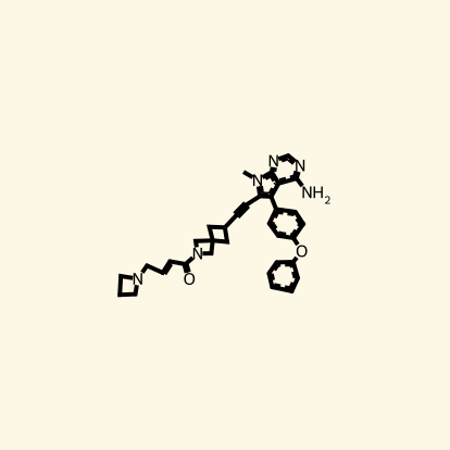 Cn1c(C#CC2CC3(C2)CN(C(=O)/C=C/CN2CCC2)C3)c(-c2ccc(Oc3ccccc3)cc2)c2c(N)ncnc21